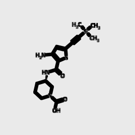 C[Si](C)(C)C#Cc1cc(N)c(C(=O)N[C@H]2CCCN(C(=O)O)C2)s1